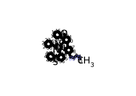 C/C=C\C=C/c1ccc(-c2ccc3oc4ccccc4c3c2-c2nc(-c3ccccc3)nc(-c3cccc4sc5ccccc5c34)n2)cc1